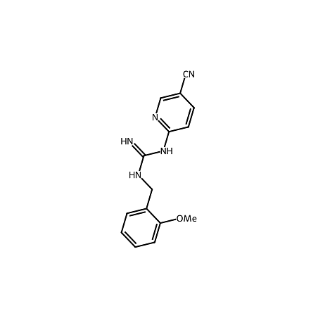 COc1ccccc1CNC(=N)Nc1ccc(C#N)cn1